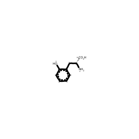 N[C@H](Cc1ccccc1O)C(=O)O